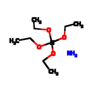 CCO[Si](OCC)(OCC)OCC.N